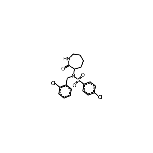 O=C1NCCCCC1N(Cc1ccccc1Cl)S(=O)(=O)c1ccc(Cl)cc1